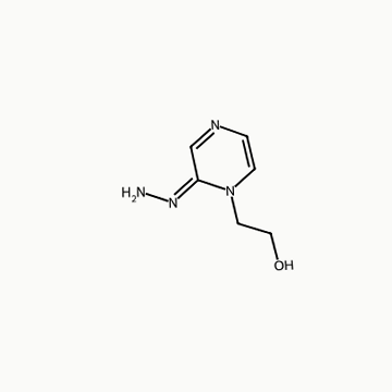 NN=c1cnccn1CCO